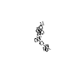 Cc1nc(-c2ccc(C(=O)N3CCN(S(=O)(=O)c4cc(C)c(Cl)cc4C)CC3)cc2)no1